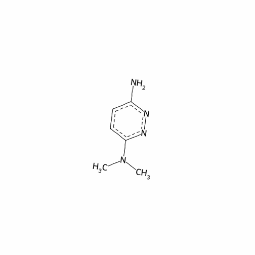 CN(C)c1ccc(N)nn1